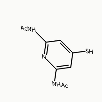 CC(=O)Nc1cc(S)cc(NC(C)=O)n1